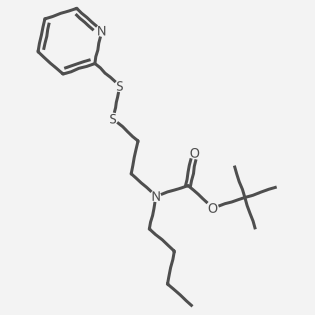 CCCCN(CCSSc1ccccn1)C(=O)OC(C)(C)C